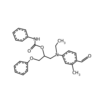 CCN(CC(COc1ccccc1)OC(=O)Nc1ccccc1)c1ccc(C=O)c(C)c1